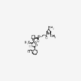 CC(NC(=O)C1CCCCN1C=O)C(=O)N1CCCC1C(=O)OCCC(=O)N1CC(N)CC1C